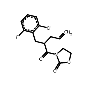 C=CCC(Cc1c(F)cccc1Cl)C(=O)N1CCOC1=O